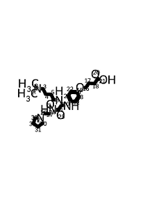 CN(C)CCCC(=O)NC(Nc1ccc(OCCCC(=O)O)cc1)C(=O)NCCN1CCCC1